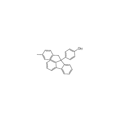 Cc1ccc(CC2(c3ccc(O)cc3)c3ccccc3-c3ccccc32)cc1